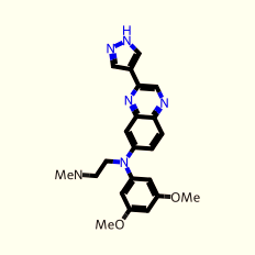 CNCCN(c1cc(OC)cc(OC)c1)c1ccc2ncc(-c3cn[nH]c3)nc2c1